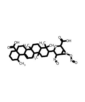 CC1CCCC2(C(=O)O)CCC3C(=CCC4C3(C)CCC3C(C)(C)C(C5OC(C(=O)O)C6C(C5N=O)N6ON=O)CCC34C)C12